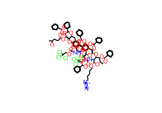 CC(=O)CCC(=O)O[C@H](COC(=O)c1ccccc1)[C@@H]1O[C@@H](OC2C(NC(=O)OCC(Cl)(Cl)Cl)C(O[C@H](COC(=O)c3ccccc3)[C@@H]3O[C@@H](OC4C(NC(=O)OCC(Cl)(Cl)Cl)C(OCCCCCN=[N+]=[N-])OC5COC(c6ccccc6)OC54)[C@@H](OC(=O)c4ccccc4)CC3OC(=O)c3ccccc3)OC3COC(c4ccccc4)OC32)[C@@H](OC(=O)c2ccccc2)CC1OC(=O)c1ccccc1